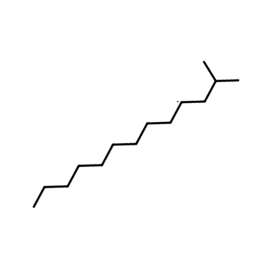 CCCCCCCCC[CH]CC(C)C